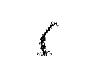 CCCCCCCCCCOc1ccc(C(=O)Sc2ccc(/C=C(\C)C(=O)O)cc2)cc1